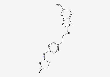 COc1ccc2nc(NCCc3ccc(/N=C4/N[C@H](C)CS4)cc3)sc2c1